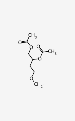 [CH2]OCCC(COC(C)=O)OC(C)=O